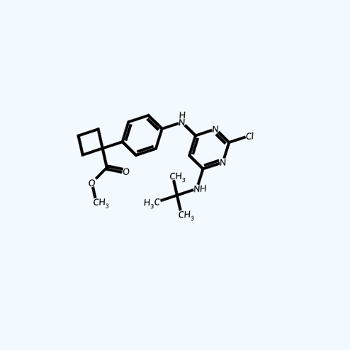 COC(=O)C1(c2ccc(Nc3cc(NC(C)(C)C)nc(Cl)n3)cc2)CCC1